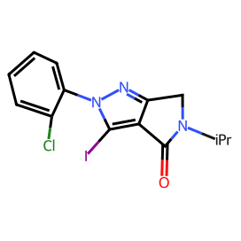 CC(C)N1Cc2nn(-c3ccccc3Cl)c(I)c2C1=O